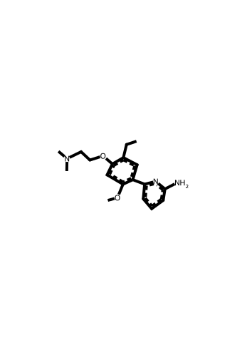 CCc1cc(-c2cccc(N)n2)c(OC)cc1OCCN(C)C